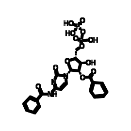 O=C(Nc1ccn([C@@H]2O[C@H](COP(=O)(O)OP(=O)(O)O)[C@@H](O)[C@@H]2OC(=O)c2ccccc2)c(=O)n1)c1ccccc1